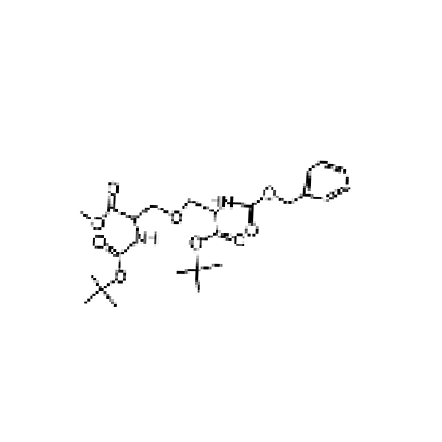 COC(=O)C(COCC(NC(=O)OCc1ccccc1)C(=O)OC(C)(C)C)NC(=O)OC(C)(C)C